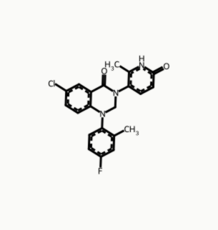 Cc1cc(F)ccc1N1CN(c2ccc(=O)[nH]c2C)C(=O)c2cc(Cl)ccc21